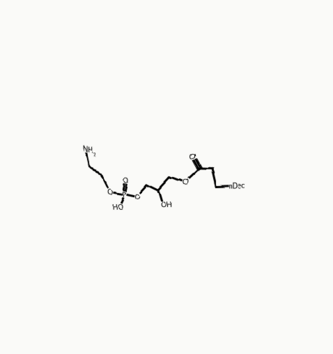 CCCCCCCCCCCCC(=O)OCC(O)COP(=O)(O)OCCN